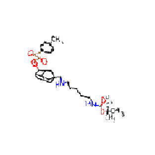 Cc1ccc(S(=O)(=O)OC2C3CC4CC2CC(CNCCCCCNC(=O)OC(C)(C)C)(C4)C3)cc1